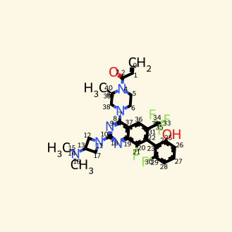 C=CC(=O)N1CCN(c2nc(N3CC(N(C)C)C3)nc3c(F)c(-c4c(O)cccc4F)c(C(F)(F)F)cc23)C[C@H]1C